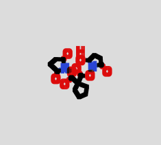 O=C1CCC(=O)N1OC(=O)C1(C(=O)ON2C(=O)CCC2O)CCCC1